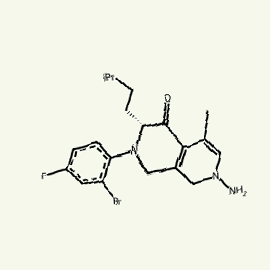 CC1=CN(N)CC2=C1C(=O)[C@@H](CCC(C)C)N(c1ccc(F)cc1Br)C2